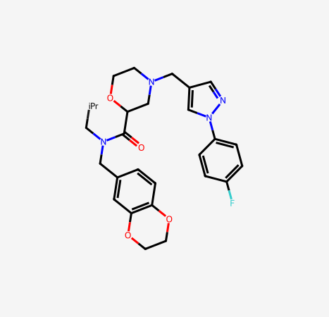 CC(C)CN(Cc1ccc2c(c1)OCCO2)C(=O)C1CN(Cc2cnn(-c3ccc(F)cc3)c2)CCO1